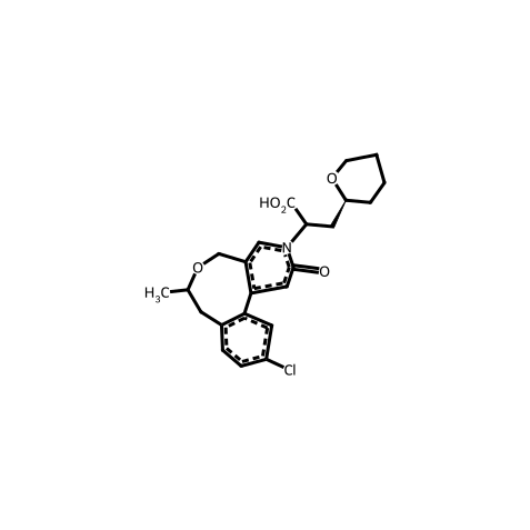 CC1Cc2ccc(Cl)cc2-c2cc(=O)n(C(C[C@@H]3CCCCO3)C(=O)O)cc2CO1